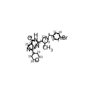 CC1CN(Cc2ccc(Br)cc2)CC1c1nn2c(C3CCOCC3)ncc2c(=O)[nH]1